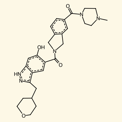 CN1CCN(C(=O)c2ccc3c(c2)CN(C(=O)c2cc4c(CC5CCOCC5)n[nH]c4cc2O)C3)CC1